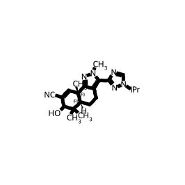 CC(C)n1cnc(-c2c3c(nn2C)[C@@]2(C)C=C(C#N)C(O)C(C)(C)[C@@H]2CC3)n1